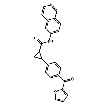 O=C(c1ccc(C2CC2C(=O)Nc2ccc3cnccc3c2)cc1)c1cccs1